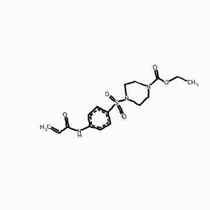 C=CC(=O)Nc1ccc(S(=O)(=O)N2CCN(C(=O)OCC)CC2)cc1